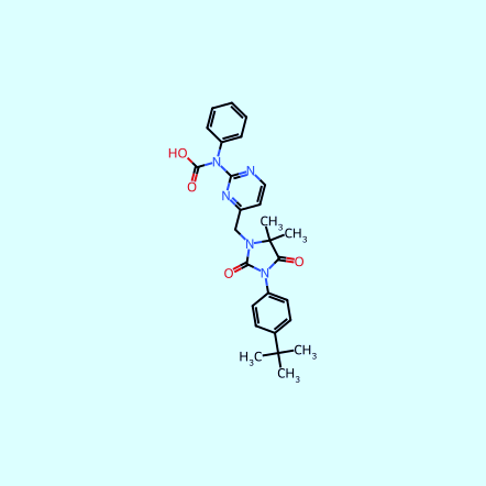 CC(C)(C)c1ccc(N2C(=O)N(Cc3ccnc(N(C(=O)O)c4ccccc4)n3)C(C)(C)C2=O)cc1